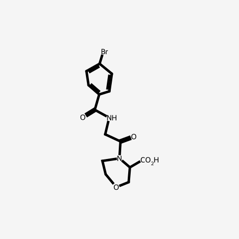 O=C(NCC(=O)N1CCOCC1C(=O)O)c1ccc(Br)cc1